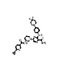 NC(=O)c1ncc(N2CCC[C@@H](NC(=O)c3ccc(C4CC4)nc3)C2)nc1Nc1ccc(N2CCC(F)(F)CC2)cc1